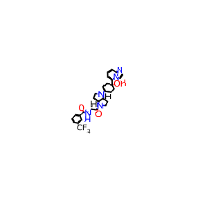 O=C(NCC(=O)N1CC[C@H]2[C@@H]1CCN2C1CCC(O)(c2cccc3nccn23)CC1)c1cccc(C(F)(F)F)c1